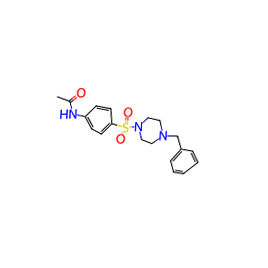 CC(=O)Nc1ccc(S(=O)(=O)N2CCN(Cc3ccccc3)CC2)cc1